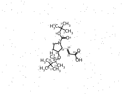 CC(C)(C)OC(=O)N1CC[C@H](O[Si](C)(C)C(C)(C)C)[C@H]1/C=C/C(=O)O